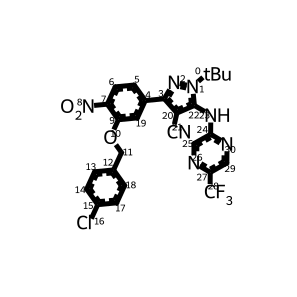 CC(C)(C)n1nc(-c2ccc([N+](=O)[O-])c(OCc3ccc(Cl)cc3)c2)c(C#N)c1Nc1cnc(C(F)(F)F)cn1